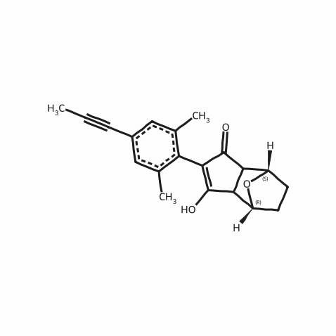 CC#Cc1cc(C)c(C2=C(O)C3C(C2=O)[C@@H]2CC[C@H]3O2)c(C)c1